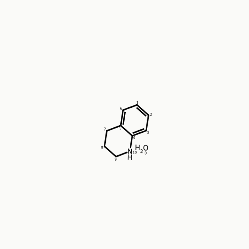 O.c1ccc2c(c1)CCCN2